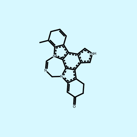 CC1=c2c(c3c4c[nH]cc4c4c5c(n6c4c3n2C=NC6)=CC(=O)CC5)C=CC1